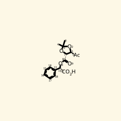 CC(=O)[C@@H]1OC(C)(C)O[C@H]1C(=O)O[C@H](C(=O)O)c1ccccc1